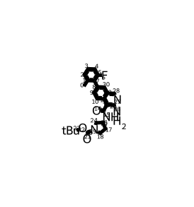 Cc1cccc(F)c1-c1ccc2c(C(=O)N[C@@H]3CCN(C(=O)OC(C)(C)C)C3)c(N)ncc2c1